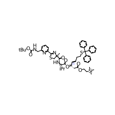 CC(C)[C@H](NC(=O)[C@]1(C)CSC(c2cccc(CNC(=O)OC(C)(C)C)n2)=N1)C(=O)O[C@H](/C=C/CCSC(c1ccccc1)(c1ccccc1)c1ccccc1)CC(=O)OCC[Si](C)(C)C